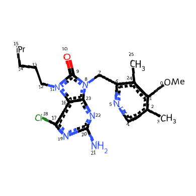 COc1c(C)cnc(Cn2c(=O)n(CCCC(C)C)c3c(Cl)nc(N)nc32)c1C